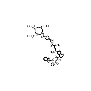 C/C(=C\C=C(/C)c1ccc2nccc(C(=O)NCC(=O)N3CCC[C@H]3C(=O)c3nc4ccccc4o3)c2c1)C(=O)NCCN1CCN(C(=O)CN2CCN(CC(=O)O)CCN(CC(=O)O)CCN(CC(=O)O)CC2)CC1